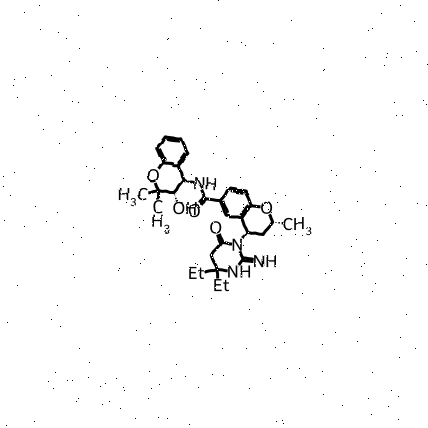 CCC1(CC)CC(=O)N([C@@H]2C[C@@H](C)Oc3ccc(C(=O)N[C@@H]4c5ccccc5OC(C)(C)[C@H]4O)cc32)C(=N)N1